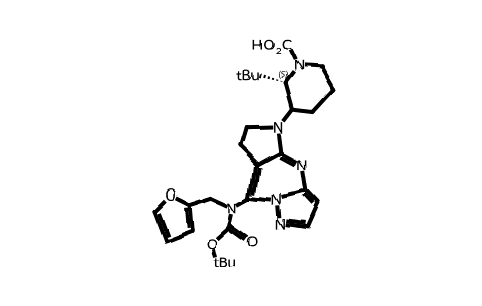 CC(C)(C)OC(=O)N(Cc1ccco1)c1c2c(nc3ccnn13)N(C1CCCN(C(=O)O)[C@H]1C(C)(C)C)CC2